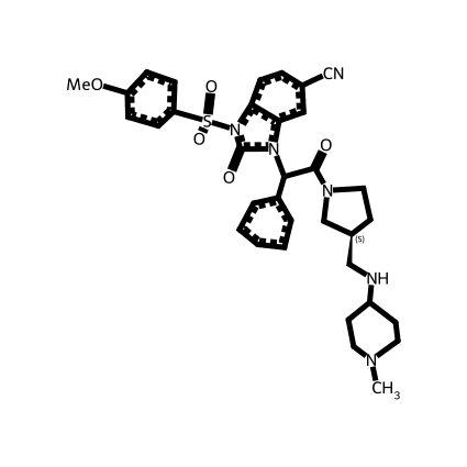 COc1ccc(S(=O)(=O)n2c(=O)n(C(C(=O)N3CC[C@@H](CNC4CCN(C)CC4)C3)c3ccccc3)c3cc(C#N)ccc32)cc1